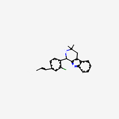 CC1(C)Cc2c([nH]c3ccccc23)C(c2ccc(C=CC(=O)O)cc2F)N1